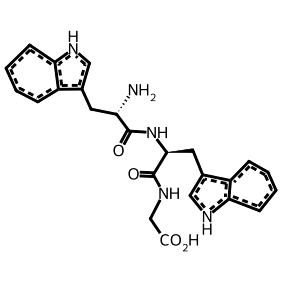 N[C@@H](Cc1c[nH]c2ccccc12)C(=O)N[C@@H](Cc1c[nH]c2ccccc12)C(=O)NCC(=O)O